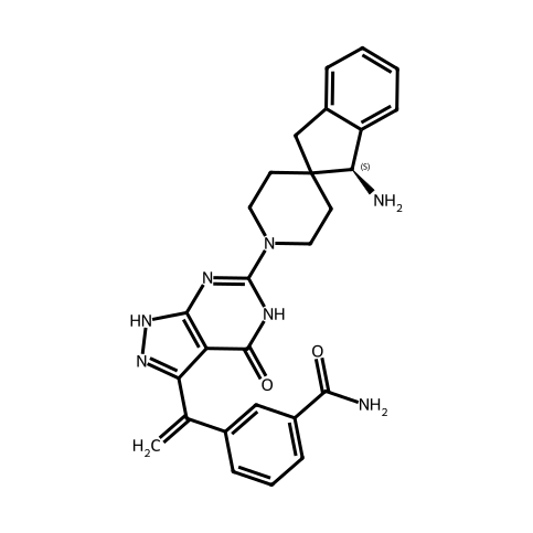 C=C(c1cccc(C(N)=O)c1)c1n[nH]c2nc(N3CCC4(CC3)Cc3ccccc3[C@H]4N)[nH]c(=O)c12